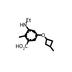 CCNc1cc(OC2CC(C)C2)cc(C(=O)O)c1C